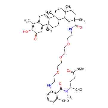 CNC(=O)CCC(C=O)N(C)C(=O)c1c(C=O)cccc1NCCOCCOCCOCCNC(=O)C1(C)CCC2(C)CCC3(C)C4=CC=C5C(=CC(=O)C(O)=C5C)C4(C)CCC3C2C1